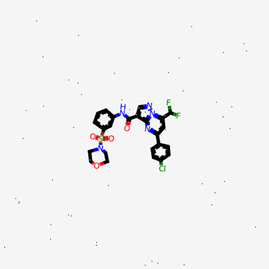 O=C(Nc1cccc(S(=O)(=O)N2CCOCC2)c1)c1cnn2c(C(F)F)cc(-c3ccc(Cl)cc3)nc12